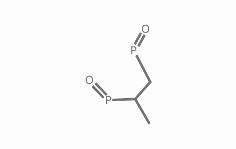 CC(CP=O)P=O